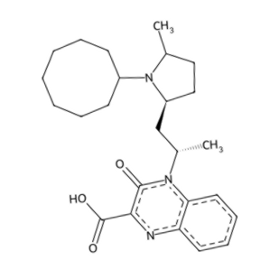 CC1CC[C@@H](C[C@H](C)n2c(=O)c(C(=O)O)nc3ccccc32)N1C1CCCCCCC1